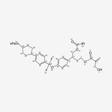 C=C(CO)C(=O)OCCC(COC(=O)C(C)C)c1ccc(OC(F)(F)c2ccc(C3CCC(CCCCC)CC3)cc2)cc1